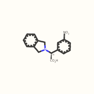 O=C(O)[C@H](c1cccc([N+](=O)[O-])c1)N1Cc2ccccc2C1